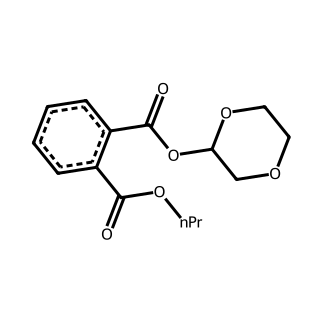 CCCOC(=O)c1ccccc1C(=O)OC1COCCO1